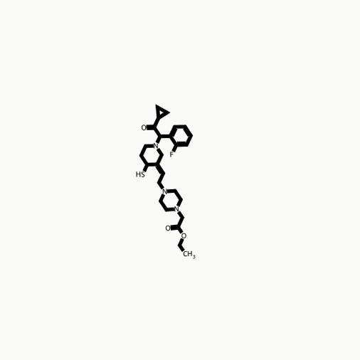 CCOC(=O)CN1CCN(C/C=C2/CN(C(C(=O)C3CC3)c3ccccc3F)CCC2S)CC1